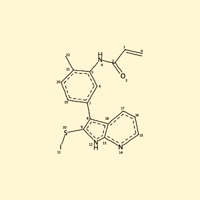 C=CC(=O)Nc1cc(-c2c(SI)[nH]c3ncccc23)ccc1C